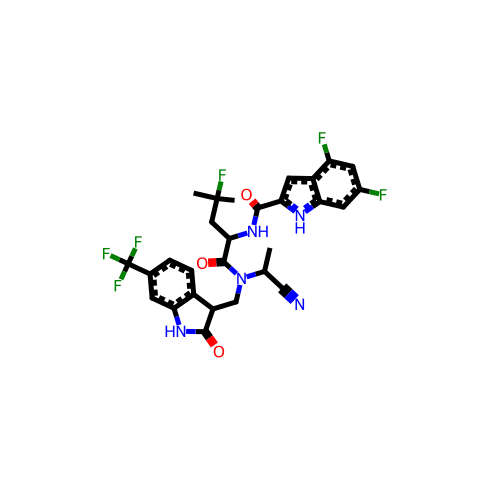 CC(C#N)N(CC1C(=O)Nc2cc(C(F)(F)F)ccc21)C(=O)C(CC(C)(C)F)NC(=O)c1cc2c(F)cc(F)cc2[nH]1